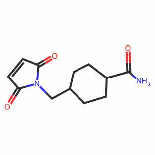 NC(=O)C1CCC(CN2C(=O)C=CC2=O)CC1